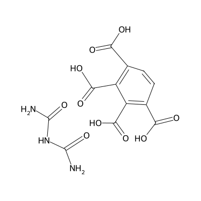 NC(=O)NC(N)=O.O=C(O)c1ccc(C(=O)O)c(C(=O)O)c1C(=O)O